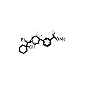 CCC(N1CC[C@](C)(c2cccc(C(=O)OC)c2)[C@@H](C)C1)C1(O)CCCCC1